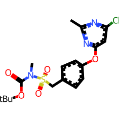 Cc1nc(Cl)cc(Oc2ccc(CS(=O)(=O)N(C)C(=O)OC(C)(C)C)cc2)n1